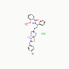 COc1ccccc1C(=O)NC(CCN1CCC2(CC1)CCN(Cc1ccc(Br)cc1)C2=O)c1ccccc1.Cl